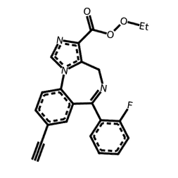 C#Cc1ccc2c(c1)C(c1ccccc1F)=NCc1c(C(=O)OOCC)ncn1-2